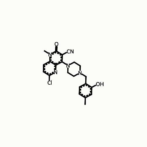 Cc1ccc(CN2CCN(c3c(C#N)c(=O)n(C)c4ccc(Cl)nc34)CC2)c(O)c1